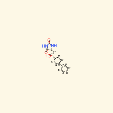 O=C1NC(=O)C(CC(O)c2ccc(-c3ccccc3)cc2)N1